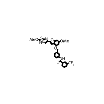 COc1cc(OCc2cccc(NC(=O)c3cccc(C(F)(F)F)c3)c2)c2cc(-c3cn4nc(OC)sc4n3)oc2c1